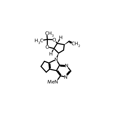 C=C[C@H]1C[C@@H](n2c3c(c4c(NC)ncnc42)CCC3)[C@@H]2OC(C)(C)O[C@@H]21